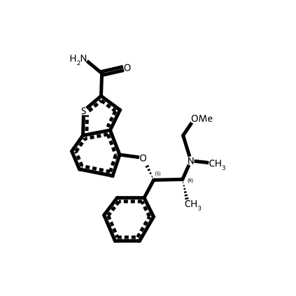 COCN(C)[C@H](C)[C@@H](Oc1cccc2sc(C(N)=O)cc12)c1ccccc1